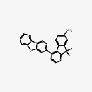 CC1(C)c2cc(N)ccc2-c2c(-c3ccc4c(c3)oc3ccccc34)cccc21